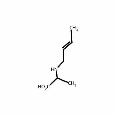 C/C=C/CNC(C)C(=O)O